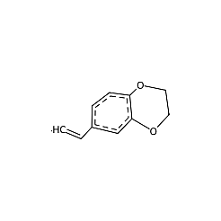 [CH]=Cc1ccc2c(c1)OCCO2